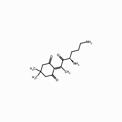 CC(C(=O)[C@H](N)CCCN)=C1C(=O)CC(C)(C)CC1=O